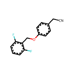 N#CCc1ccc(OCc2c(F)cccc2F)cc1